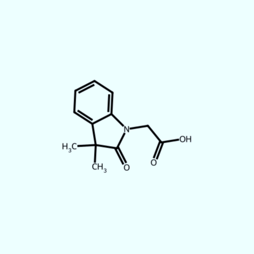 CC1(C)C(=O)N(CC(=O)O)c2ccccc21